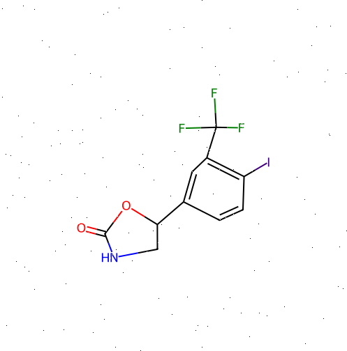 O=C1NCC(c2ccc(I)c(C(F)(F)F)c2)O1